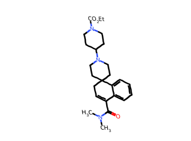 CCOC(=O)N1CCC(N2CCC3(CC=C(C(=O)N(C)C)c4ccccc43)CC2)CC1